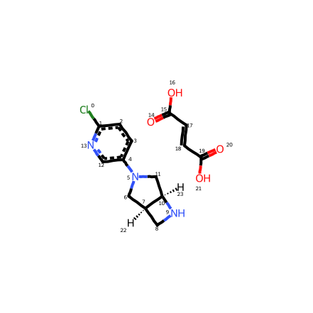 Clc1ccc(N2C[C@@H]3CN[C@@H]3C2)cn1.O=C(O)/C=C/C(=O)O